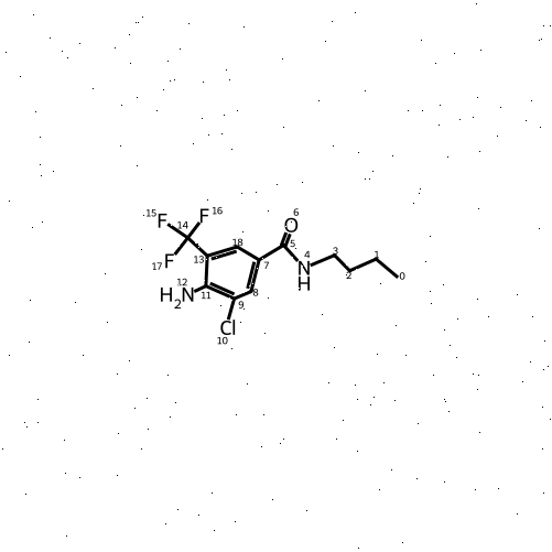 CCCCNC(=O)c1cc(Cl)c(N)c(C(F)(F)F)c1